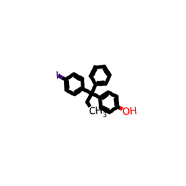 CCC(c1ccccc1)(c1ccc(O)cc1)c1ccc(I)cc1